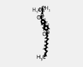 CCCCCCCCCCCCC(=O)Oc1ccc(-c2ccc(C(=O)OCCC(C)C)cc2)cc1